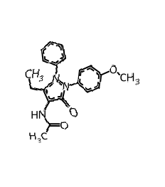 CCc1c(NC(C)=O)c(=O)n(-c2ccc(OC)cc2)n1-c1ccccc1